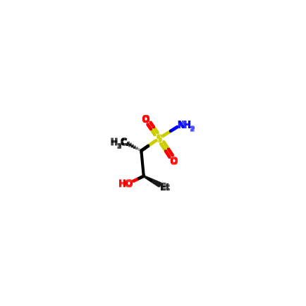 CC[C@@H](O)[C@H](C)S(N)(=O)=O